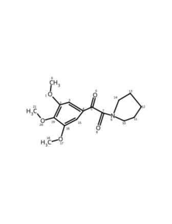 COc1cc(C(=O)C(=O)N2CCCCC2)cc(OC)c1OC